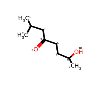 CC(C)CC(=O)CCC(C)O